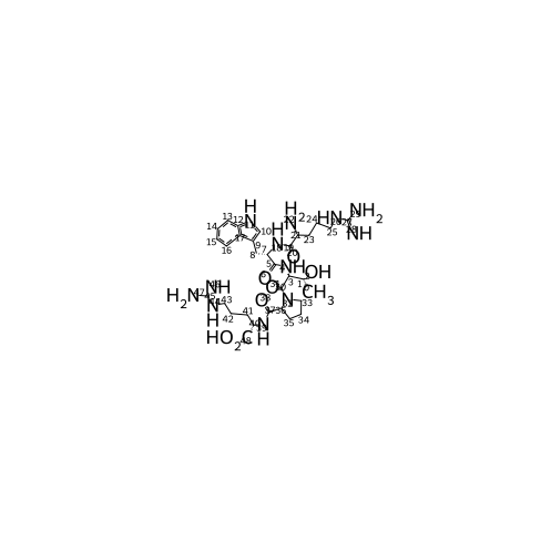 C[C@@H](O)[C@H](NC(=O)[C@H](Cc1c[nH]c2ccccc12)NC(=O)[C@@H](N)CCCNC(=N)N)C(=O)N1CCC[C@H]1C(=O)N[C@@H](CCCNC(=N)N)C(=O)O